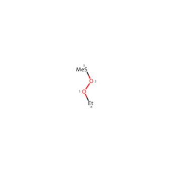 CCOOSC